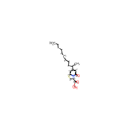 CCCCCCCCCC(C)c1cc2n(c(=O)c1)C(C(=O)O)CS2